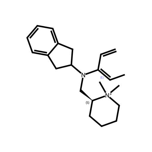 C=C/C(=C\C)N(C[C@@H]1CCCC[N+]1(C)C)C1Cc2ccccc2C1